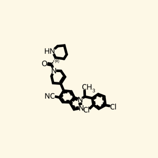 CC(c1ccc(Cl)cc1Cl)n1ncc2cc(C#N)c(C3=CCN(C(=O)[C@H]4CCCCN4)CC3)cc21